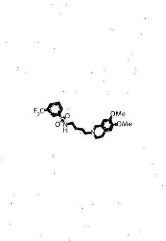 COc1cc2c(cc1OC)CN(CCCCNS(=O)(=O)c1cccc(C(F)(F)F)c1)CC2